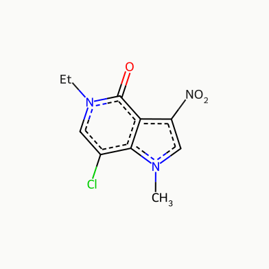 CCn1cc(Cl)c2c(c([N+](=O)[O-])cn2C)c1=O